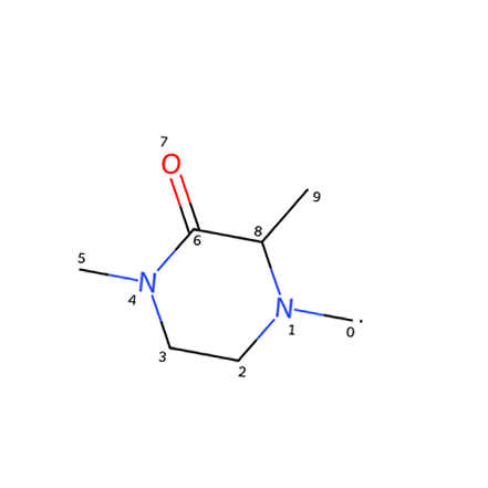 [CH2]N1CCN(C)C(=O)C1C